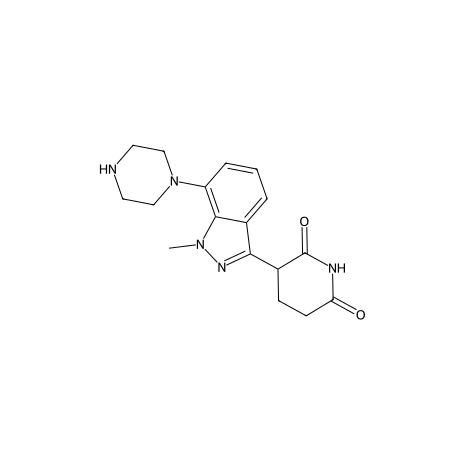 Cn1nc(C2CCC(=O)NC2=O)c2cccc(N3CCNCC3)c21